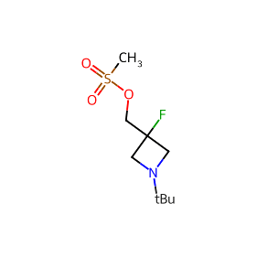 CC(C)(C)N1CC(F)(COS(C)(=O)=O)C1